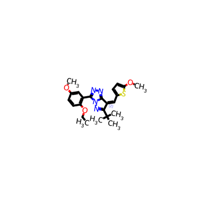 CCOc1ccc(OC)cc1-c1nnc2/c(=C\c3ccc(OC)s3)c(C(C)(C)C)nn12